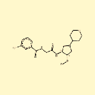 CCO[C@H]1CN(C2CCOCC2)C[C@@H]1NC(=O)CNC(=O)c1cccc(C(F)(F)F)c1